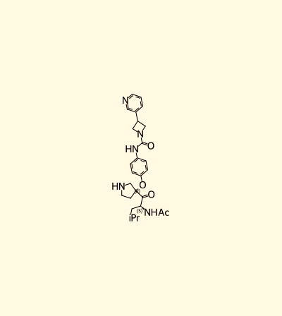 CC(=O)N[C@@H](CC(C)C)C(=O)[C@@]1(Oc2ccc(NC(=O)N3CC(c4cccnc4)C3)cc2)CCNC1